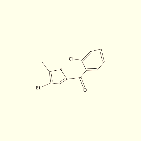 CCc1cc(C(=O)c2ccccc2Cl)sc1C